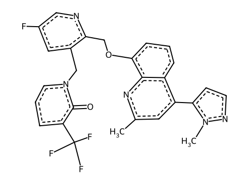 Cc1cc(-c2ccnn2C)c2cccc(OCc3ncc(F)cc3Cn3cccc(C(F)(F)F)c3=O)c2n1